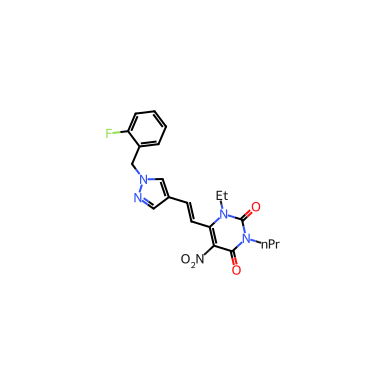 CCCn1c(=O)c([N+](=O)[O-])c(/C=C/c2cnn(Cc3ccccc3F)c2)n(CC)c1=O